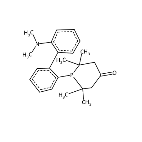 CN(C)c1ccccc1-c1ccccc1P1C(C)(C)CC(=O)CC1(C)C